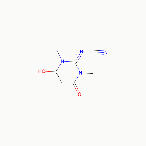 CN1C(=O)CC(O)N(C)/C1=N/C#N